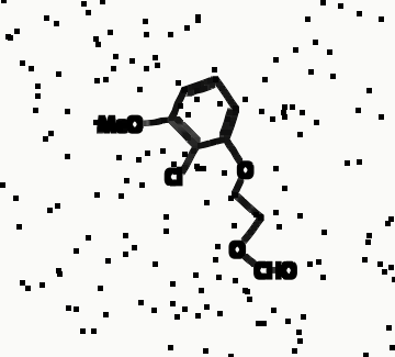 COc1cccc(OCCOC=O)c1Cl